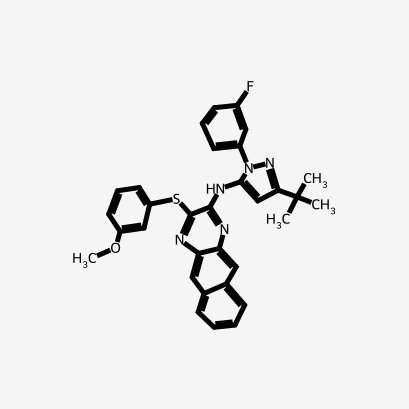 COc1cccc(Sc2nc3cc4ccccc4cc3nc2Nc2cc(C(C)(C)C)nn2-c2cccc(F)c2)c1